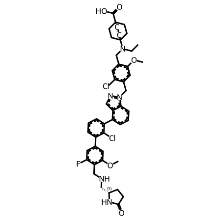 CCN(Cc1cc(Cl)c(Cn2ncc3c(-c4cccc(-c5cc(F)c(CNC[C@@H]6CCC(=O)N6)c(OC)c5)c4Cl)cccc32)cc1OC)C12CCC(C(=O)O)(CC1)CC2